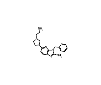 NCCN1CCC(c2ccc3nc(N)n(Cc4ccccn4)c3n2)C1